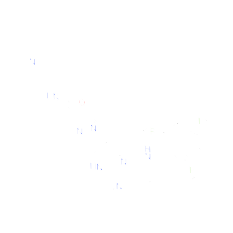 N#CCNC(=O)Cn1cc(Nc2nccc(NCc3c(F)cc(F)cc3F)n2)cn1